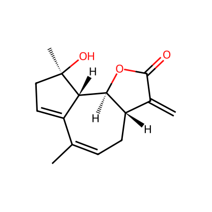 C=C1C(=O)O[C@H]2[C@H]1CC=C(C)C1=CC[C@@](C)(O)[C@@H]12